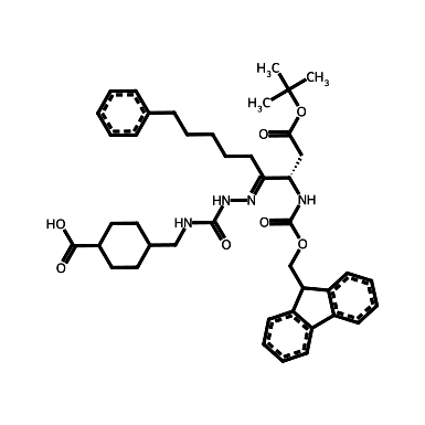 CC(C)(C)OC(=O)C[C@H](NC(=O)OCC1c2ccccc2-c2ccccc21)C(CCCCCc1ccccc1)=NNC(=O)NCC1CCC(C(=O)O)CC1